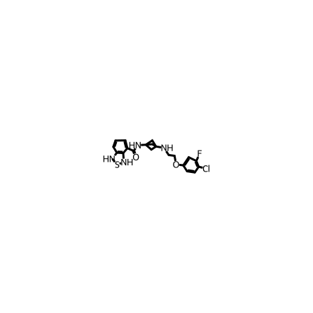 O=C(NC12CC(NCCOc3ccc(Cl)c(F)c3)(C1)C2)c1cccc2c1NSN2